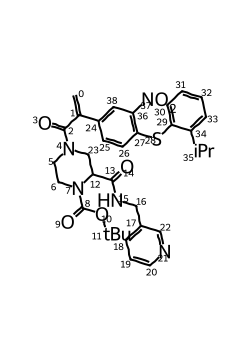 C=C(C(=O)N1CCN(C(=O)OC(C)(C)C)C(C(=O)NCc2cccnc2)C1)c1ccc(Sc2ccccc2C(C)C)c([N+](=O)[O-])c1